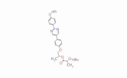 CCCCOC(C)C(=O)OC(C)COc1ccc(-c2cnc(-c3ccc(OCCC)cc3)nc2)cc1